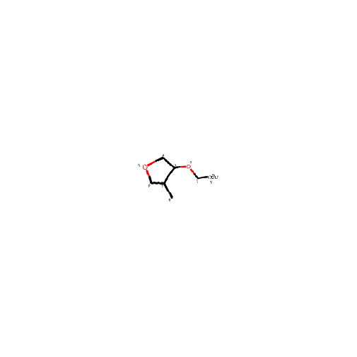 CCCCCOC1COCC1C